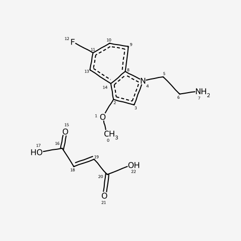 COc1cn(CCN)c2ccc(F)cc12.O=C(O)C=CC(=O)O